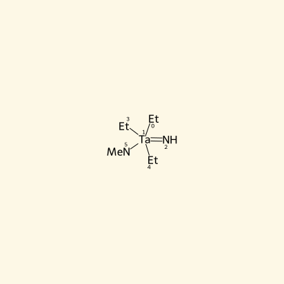 C[CH2][Ta](=[NH])([CH2]C)([CH2]C)[NH]C